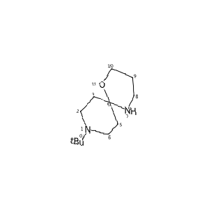 CC(C)(C)N1CCC2(CC1)NCCCO2